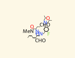 C\C=C/C=C(C=O)\C(=C\NCc1cc(CN2CC(C)OC(C)C2)ccc1F)CN(C)C(CCC=O)C(=O)NC